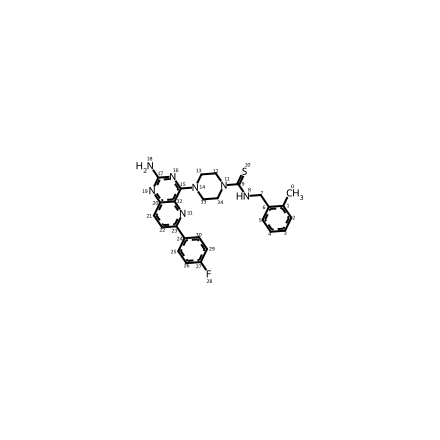 Cc1ccccc1CNC(=S)N1CCN(c2nc(N)nc3ccc(-c4ccc(F)cc4)nc23)CC1